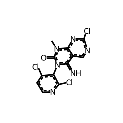 Cn1c(=O)n(-c2c(Cl)ccnc2Cl)c(=N)c2cnc(Cl)nc21